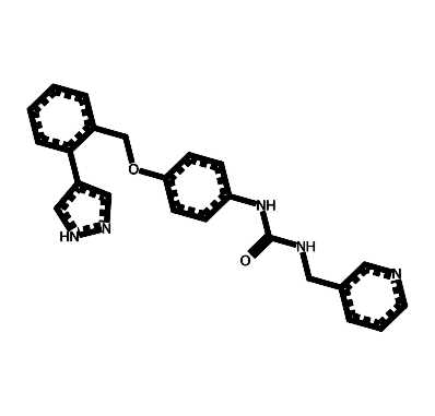 O=C(NCc1cccnc1)Nc1ccc(OCc2ccccc2-c2cn[nH]c2)cc1